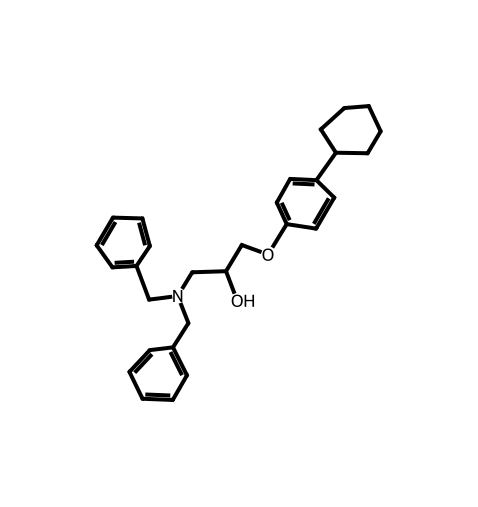 OC(COc1ccc(C2CCCCC2)cc1)CN(Cc1ccccc1)Cc1ccccc1